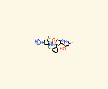 Cc1cc(O)c2c3c(nn2c1)CCC(NC(=O)c1c(Cl)cc(-n2cnnc2)cc1Cl)(c1ccccc1)C3